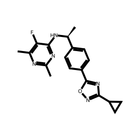 Cc1nc(C)c(F)c(N[C@@H](C)c2ccc(-c3nc(C4CC4)no3)cc2)n1